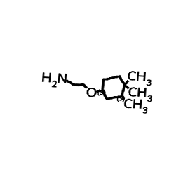 C[C@H]1C[C@@H](OCCN)CCC1(C)C